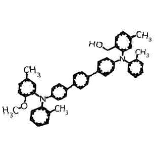 COc1ccc(C)cc1N(c1ccc(-c2ccc(-c3ccc(N(c4ccccc4C)c4cc(C)ccc4CO)cc3)cc2)cc1)c1ccccc1C